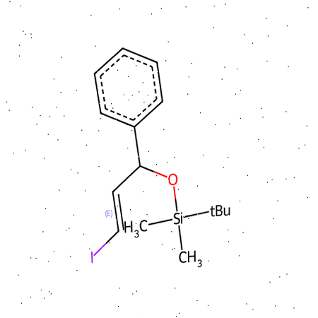 CC(C)(C)[Si](C)(C)OC(/C=C/I)c1ccccc1